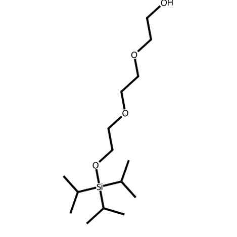 CC(C)[Si](OCCOCCOCCO)(C(C)C)C(C)C